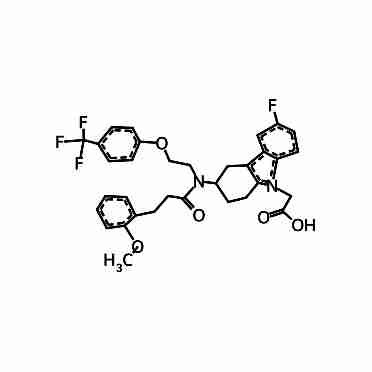 COc1ccccc1CCC(=O)N(CCOc1ccc(C(F)(F)F)cc1)C1CCc2c(c3cc(F)ccc3n2CC(=O)O)C1